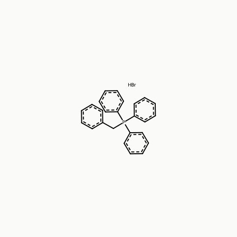 Br.c1ccc(C[P](c2ccccc2)(c2ccccc2)c2ccccc2)cc1